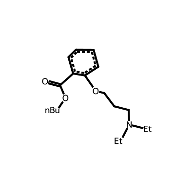 CCCCOC(=O)c1ccccc1OCCCN(CC)CC